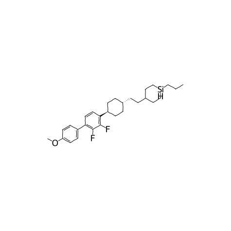 CCC[SiH]1CCC(CC[C@H]2CC[C@H](c3ccc(-c4ccc(OC)cc4)c(F)c3F)CC2)CC1